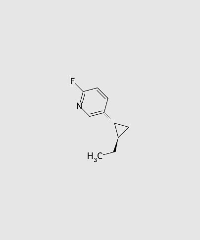 CC[C@@H]1C[C@H]1c1ccc(F)nc1